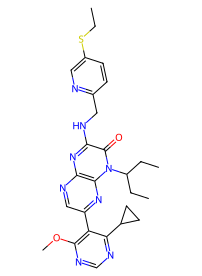 CCSc1ccc(CNc2nc3ncc(-c4c(OC)ncnc4C4CC4)nc3n(C(CC)CC)c2=O)nc1